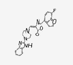 O=C1OC(c2ccc(F)c3occc23)=N/C1=C/N1CCN(c2nc3ccccc3[nH]2)CC1